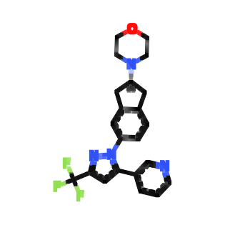 FC(F)(F)c1cc(-c2cccnc2)n(-c2ccc3c(c2)C[C@H](N2CCOCC2)C3)n1